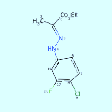 CCOC(=O)/C(C)=N/Nc1ccc(Cl)c(F)c1